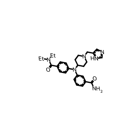 CCN(CC)C(=O)c1ccc(N(c2cccc(C(N)=O)c2)C2CCN(Cc3cnc[nH]3)CC2)cc1